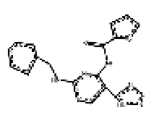 O=C(Nc1nc(NCc2ccccc2)ncc1-c1nnn[nH]1)c1cccs1